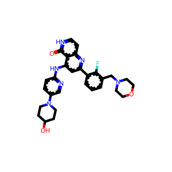 O=c1[nH]ccc2nc(-c3cccc(CN4CCOCC4)c3F)cc(Nc3ccc(N4CCC(O)CC4)cn3)c12